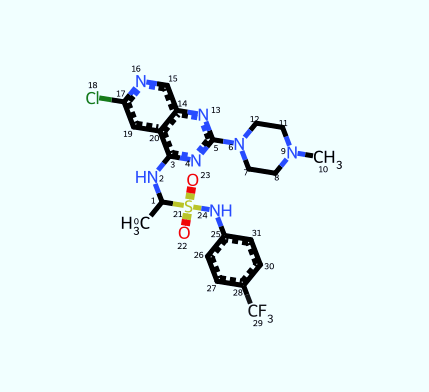 CC(Nc1nc(N2CCN(C)CC2)nc2cnc(Cl)cc12)S(=O)(=O)Nc1ccc(C(F)(F)F)cc1